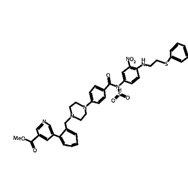 COC(=O)c1cncc(-c2ccccc2CN2CCN(c3ccc(C(=O)N(c4ccc(NCCSc5ccccc5)c([N+](=O)[O-])c4)[SH](=O)=O)cc3)CC2)c1